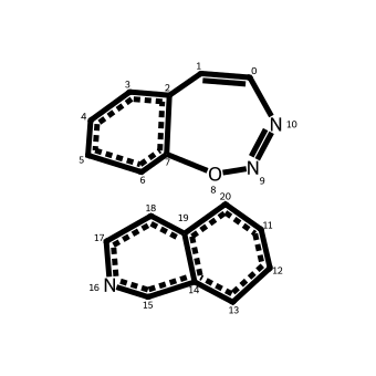 C1=Cc2ccccc2ON=N1.c1ccc2cnccc2c1